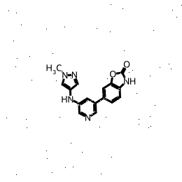 Cn1cc(Nc2cncc(-c3ccc4[nH]c(=O)oc4c3)c2)cn1